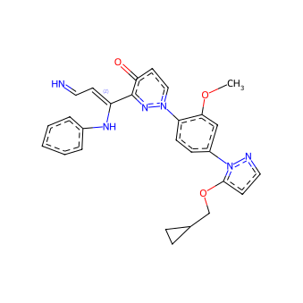 COc1cc(-n2nccc2OCC2CC2)ccc1-n1ccc(=O)c(/C(=C/C=N)Nc2ccccc2)n1